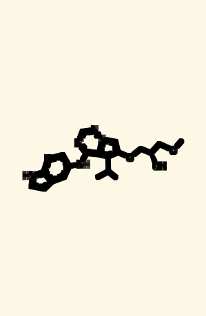 COC[C@@H](O)COc1cn2ncnc(Nc3cnc4[nH]ccc4c3)c2c1C(C)C